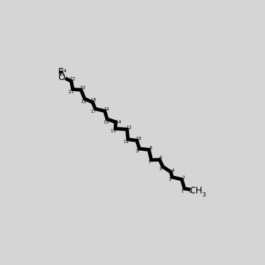 CCCCCCCCCCCCCCCCCCCCCCCOF